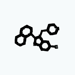 Clc1ccc2nc(-c3cccc4ccccc34)n(Cc3ccncc3)c2c1